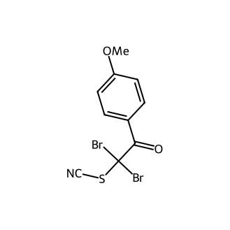 COc1ccc(C(=O)C(Br)(Br)SC#N)cc1